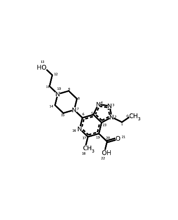 CCn1nnc2c(N3CCN(CCO)CC3)nc(C)c(C(=O)O)c21